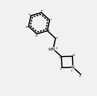 CN1CC(NCc2ccccc2)C1